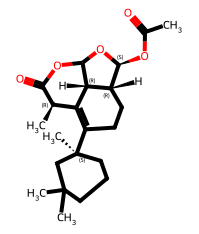 CC(=O)O[C@@H]1OC2OC(=O)[C@H](C)C3=C([C@@]4(C)CCCC(C)(C)C4)CC[C@@H]1[C@H]32